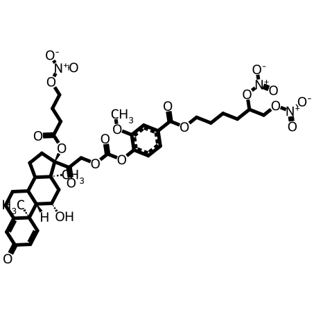 COc1cc(C(=O)OCCCCC(CO[N+](=O)[O-])O[N+](=O)[O-])ccc1OC(=O)OCC(=O)[C@@]1(OC(=O)CCCO[N+](=O)[O-])CCC2C3CCC4=CC(=O)C=C[C@]4(C)[C@H]3[C@@H](O)C[C@@]21C